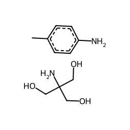 Cc1ccc(N)cc1.NC(CO)(CO)CO